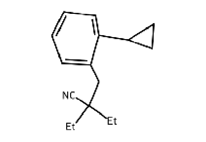 CCC(C#N)(CC)Cc1ccccc1C1CC1